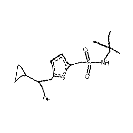 CC(C)(C)NS(=O)(=O)c1ccc(C(O)C2CC2)s1